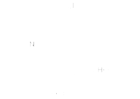 O=[C]C([C]=O)c1cncc(Cl)c1